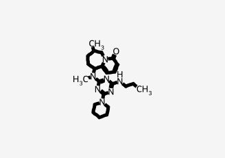 CCCNc1nc(N2CCCCC2)nc(N(C)C2CCC(C)Cn3c2cccc3=O)n1